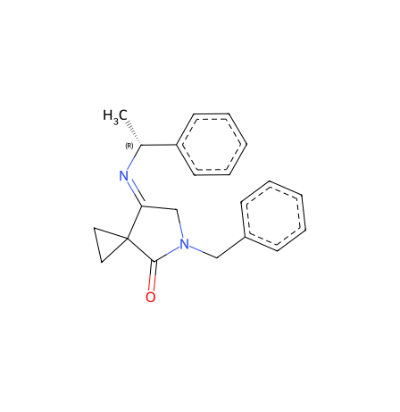 C[C@@H](N=C1CN(Cc2ccccc2)C(=O)C12CC2)c1ccccc1